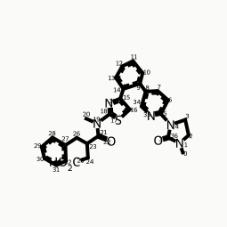 CN1CCN(c2ccc(-c3ccccc3-c3csc(N(C)C(=O)C(CC(=O)O)Cc4ccccc4)n3)cn2)C1=O